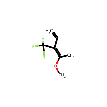 C=C/C(=C(\C)OC)C(F)(F)F